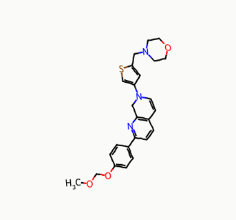 COCOc1ccc(-c2ccc3c(n2)CN(c2csc(CN4CCOCC4)c2)C=C3)cc1